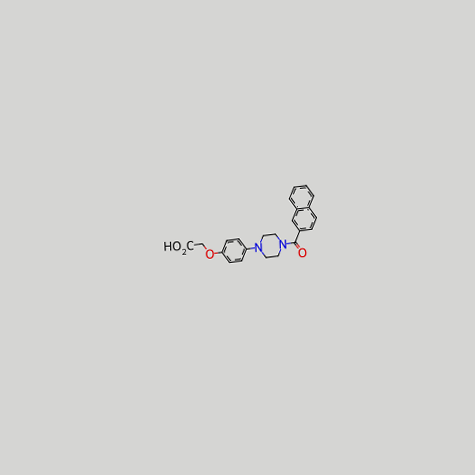 O=C(O)COc1ccc(N2CCN(C(=O)c3ccc4ccccc4c3)CC2)cc1